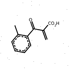 C=C(C(=O)O)C(=O)c1ccccc1C